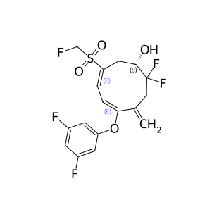 C=C1CC(F)(F)[C@@H](O)C/C(S(=O)(=O)CF)=C\C=C/1Oc1cc(F)cc(F)c1